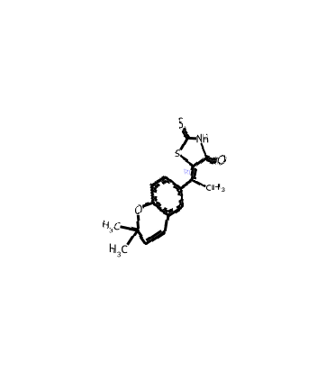 C/C(=C1/SC(=S)NC1=O)c1ccc2c(c1)C=CC(C)(C)O2